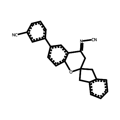 N#CN=C1CC2(Cc3ccccc3C2)Oc2ccc(-c3cccc(C#N)c3)cc21